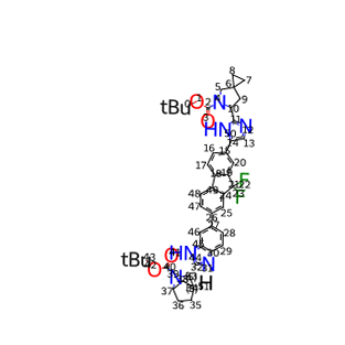 CC(C)(C)OC(=O)N1CC2(CC2)CC1c1ncc(-c2ccc3c(c2)C(F)(F)c2cc(-c4ccc5nc([C@@H]6[C@H]7CCC(C7)N6C(=O)OC(C)(C)C)[nH]c5c4)ccc2-3)[nH]1